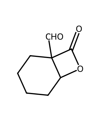 O=CC12CCCCC1OC2=O